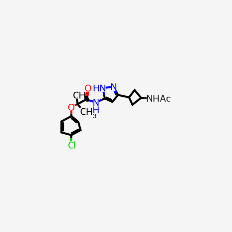 CC(=O)NC1CC(c2cc(NC(=O)C(C)(C)Oc3ccc(Cl)cc3)[nH]n2)C1